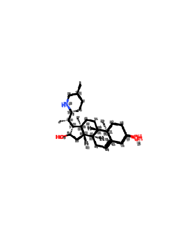 C[C@H]1CC[C@H]([C@@H](C)[C@H]2C(O)C[C@H]3[C@@H]4CC=C5CC(O)CC[C@]5(C)[C@H]4CC[C@]23C)NC1